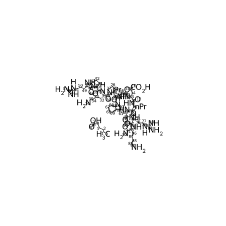 CCCCCC(=O)O.CCC[C@H](NC(=O)[C@H](CCC(=O)O)NC(=O)[C@@H](NC(=O)[C@@H]1CCCN1C(=O)[C@H](CCCCN)NC(=O)[C@@H]1CCCN1C(=O)[C@@H](N)CCCNC(=N)N)C(C)C)C(=O)N[C@@H](Cc1c[nH]c2ccccc12)C(=O)N[C@@H](CCCNC(=N)N)C(=O)N[C@@H](CCCCN)C(N)=O